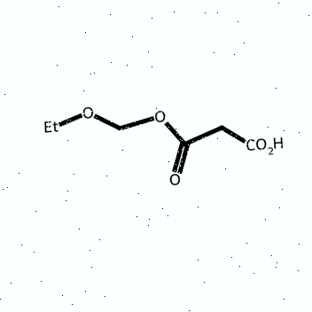 CCOCOC(=O)CC(=O)O